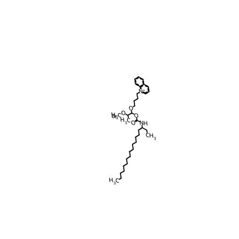 CCCCCCCCCCCCCCCC(CC)NC(=O)OC(OCCCC[n+]1cccc2ccccc21)C(C)OC.[Br-]